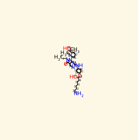 C=CCn1c(=O)c2cnc(Nc3ccc(OC(O)CCCCCCN)cc3)nc2n1-c1cccc(C(C)(C)O)n1